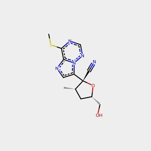 CSc1ncnn2c([C@]3(C#N)O[C@H](CO)C[C@@H]3C)cnc12